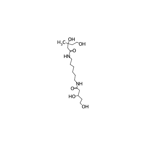 CC(O)(CCO)CC(=O)NCCCCCCNC(=O)CC(O)CCO